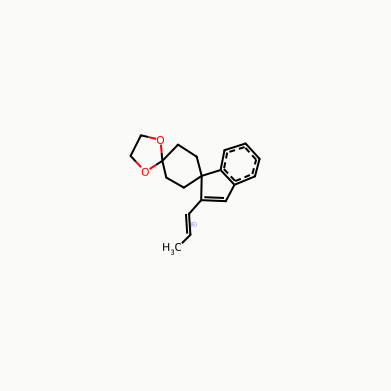 C/C=C/C1=Cc2ccccc2C12CCC1(CC2)OCCO1